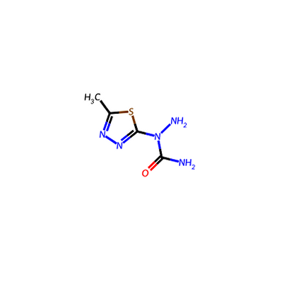 Cc1nnc(N(N)C(N)=O)s1